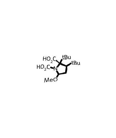 COC1CC(C(C)(C)C)[C@@](C(=O)O)(C(C)(C)C)N1C(=O)O